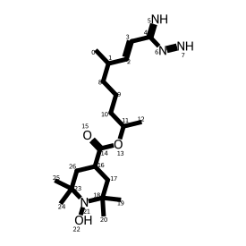 CC(/C=C/C(=N)N=N)CCCC(C)OC(=O)C1CC(C)(C)N(O)C(C)(C)C1